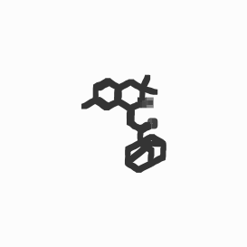 Cc1ccc2c(c1)/C(=C/C(=O)C13CC4CC(CC(C4)C1)C3)NC(C)(C)C2